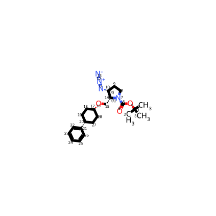 CC(C)(C)OC(=O)N1CC[C@@H](N=[N+]=[N-])[C@H]1CO[C@H]1CC[C@@H](c2ccccc2)CC1